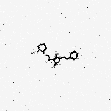 COc1ccccc1OCC(=O)C1=C(O)C(CCc2ccccc2)OC1=O